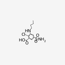 CCCCNc1cc(S(N)(=O)=O)cc(C(=O)O)c1Cl